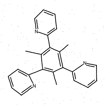 Cc1c(-c2ccccn2)c(C)c(-c2ccccn2)c(C)c1-c1ccccn1